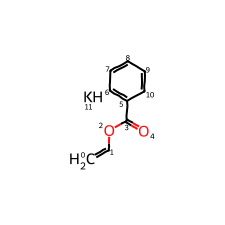 C=COC(=O)c1ccccc1.[KH]